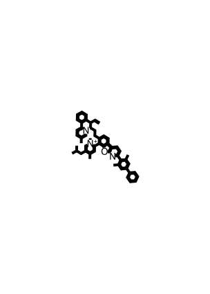 C=CC1c2ccccc2-c2ccc(C)c[n+]2C1CCc1ccc2c(oc3nc(-c4c(C)cc(-c5ccccc5)cc4C)ccc32)c1-c1cc(C)c(CC(C)C)c[n+]1C